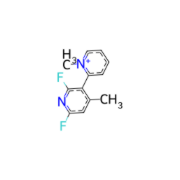 Cc1cc(F)nc(F)c1-c1cccc[n+]1C